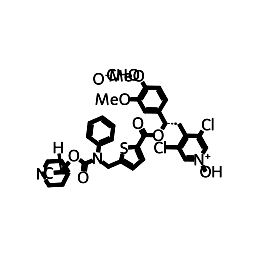 COc1ccc([C@H](Cc2c(Cl)c[n+](O)cc2Cl)OC(=O)c2ccc(CN(C(=O)O[C@H]3CN4CCC3CC4)c3ccccc3)s2)cc1OC.O=C[O-]